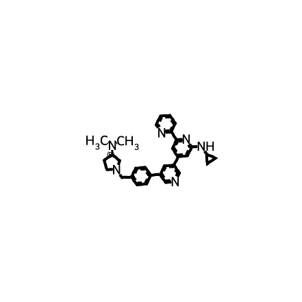 CN(C)[C@@H]1CCN(Cc2ccc(-c3cncc(-c4cc(NC5CC5)nc(-c5ccccn5)c4)c3)cc2)C1